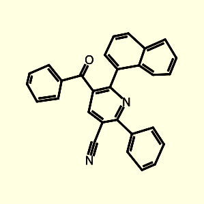 N#Cc1cc(C(=O)c2ccccc2)c(-c2cccc3ccccc23)nc1-c1ccccc1